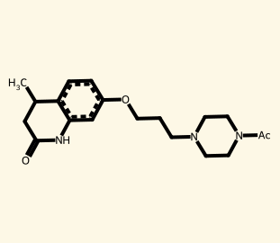 CC(=O)N1CCN(CCCOc2ccc3c(c2)NC(=O)CC3C)CC1